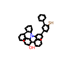 Oc1cccc(N(c2cccc(-c3ccc(S)c(-c4ccccc4)c3)c2)c2ccccc2-c2ccccc2)c1-c1ccccc1